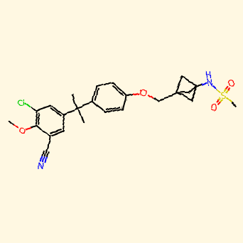 COc1c(Cl)cc(C(C)(C)c2ccc(OCC34CC(NS(C)(=O)=O)(C3)C4)cc2)cc1C#N